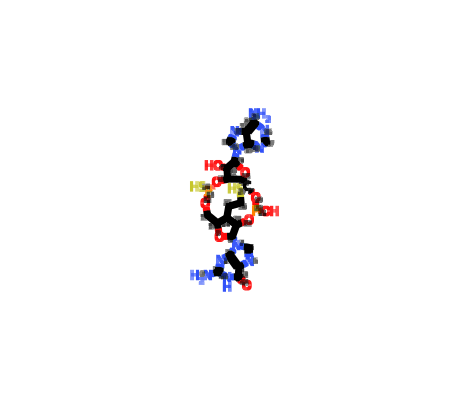 Nc1nc2c(ncn2C2OC3COP(S)OC4C(COP(O)OC2C3CCS)OC(n2cnc3c(N)ncnc32)C4O)c(=O)[nH]1